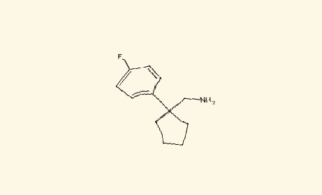 NCC1(c2ccc(F)cc2)CCCC1